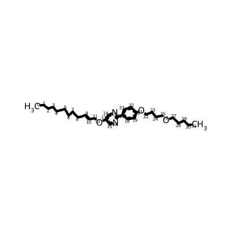 CCCCCCCCCC=CCOc1cnc(-c2ccc(OCCCCOCCCCC)cc2)nc1